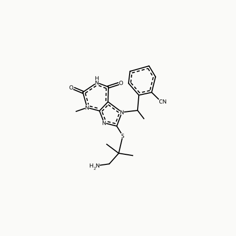 CC(c1ccccc1C#N)n1c(SC(C)(C)CN)nc2c1c(=O)[nH]c(=O)n2C